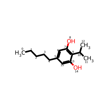 CCCCCc1cc(O)c(C(C)C)c(O)c1